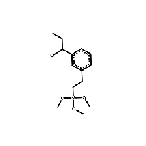 CCC(Cl)c1cccc(CC[Si](OC)(OC)OC)c1